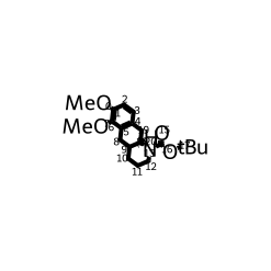 COc1ccc2c(c1OC)CC1CCCN(C(=O)OC(C)(C)C)[C@H]1C2